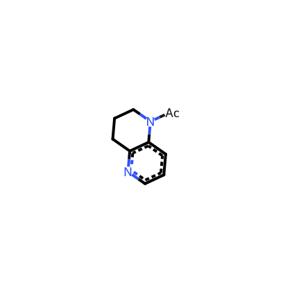 CC(=O)N1CCCc2ncccc21